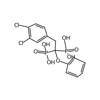 O=P(O)(O)C(Cc1ccc(Cl)c(Cl)c1)(Oc1ccccc1)P(=O)(O)O